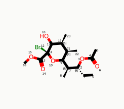 CC[C@@H](OC(C)=O)[C@@H](C)C1O[C@](Br)(C(=O)OC)C(O)[C@@H](C)[C@H]1C